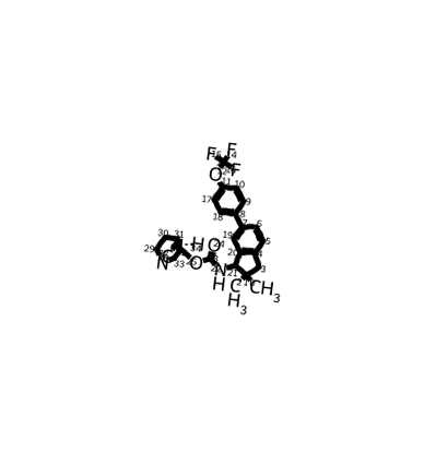 CC1(C)Cc2ccc(-c3ccc(OC(F)(F)F)cc3)cc2C1NC(=O)O[C@H]1CN2CCC1CC2